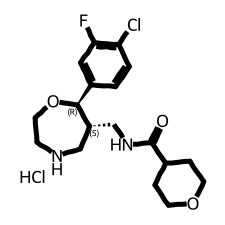 Cl.O=C(NC[C@@H]1CNCCO[C@H]1c1ccc(Cl)c(F)c1)C1CCOCC1